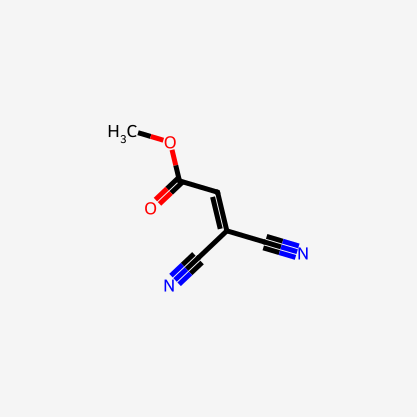 COC(=O)C=C(C#N)C#N